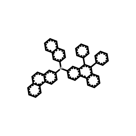 c1ccc(-c2c(-c3ccccc3)c3cc(N(c4ccc5ccccc5c4)c4ccc5c(ccc6ccccc65)c4)ccc3c3ccccc23)cc1